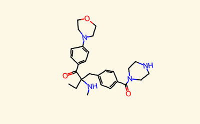 CCC(Cc1ccc(C(=O)N2CCNCC2)cc1)(NC)C(=O)c1ccc(N2CCOCC2)cc1